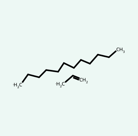 [CH2]C=C.[CH2]CCCCCCCCCCC